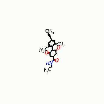 CC#Cc1cc(C)c(C2C(=O)CC(C(=O)NCC(F)(F)F)CC2=O)c(C)c1